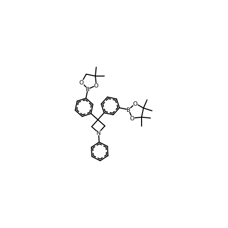 CC1(C)COB(c2cccc(C3(c4cccc(B5OC(C)(C)C(C)(C)O5)c4)CN(c4ccccc4)C3)c2)O1